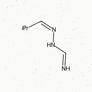 CC(C)/C=N\NC=N